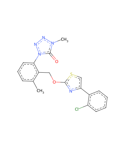 Cc1cccc(-n2nnn(C)c2=O)c1COc1nc(-c2ccccc2Cl)cs1